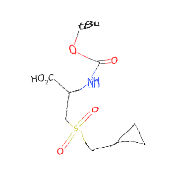 CC(C)(C)OC(=O)NC(CS(=O)(=O)CC1CC1)C(=O)O